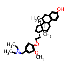 CCN(CC)Cc1ccc(OCC[C@H]2CC[C@H]3[C@H]4C(CC[C@]23C)c2ccc(O)cc2C[C@H]4C)c(OC)c1